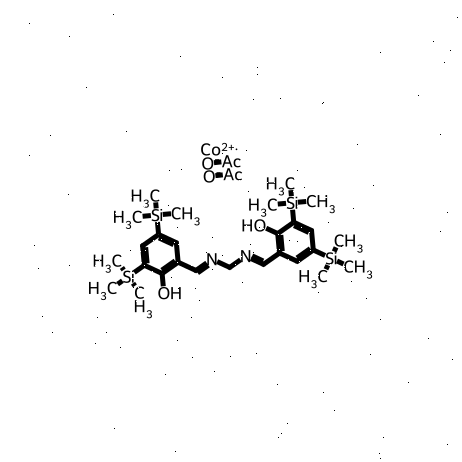 CC(=O)[O-].CC(=O)[O-].C[Si](C)(C)c1cc(C=NCN=Cc2cc([Si](C)(C)C)cc([Si](C)(C)C)c2O)c(O)c([Si](C)(C)C)c1.[Co+2]